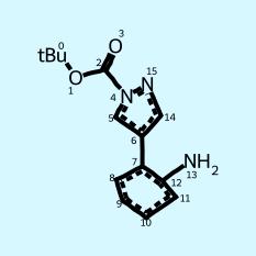 CC(C)(C)OC(=O)n1cc(-c2ccccc2N)cn1